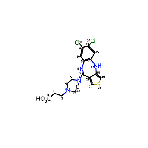 O=C(O)CCN1CCN(C2=Nc3cc(Cl)c(Cl)cc3Nc3cscc32)CC1